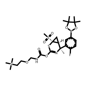 CC1(C)OB(c2ccc(F)c([C@@]3(C)N=C(OC(=O)NCOCC[Si](C)(C)C)S[C@@]4(S(C)(=O)=O)C[C@H]43)c2)OC1(C)C